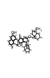 C#Cc1c(F)ccc2cc(O)cc(-c3ncc4c(N5CC6CCC(C5)N6)nc(OCC56CCCCC5N(C)CC6)nc4c3F)c12